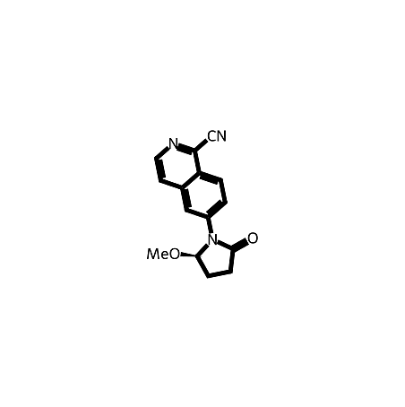 CO[C@@H]1CCC(=O)N1c1ccc2c(C#N)nccc2c1